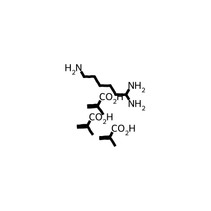 C=C(C)C(=O)O.C=C(C)C(=O)O.C=C(C)C(=O)O.NCCCCCC(N)N